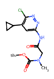 CN(CC(=O)Nc1cc(C2CC2)c(Cl)nn1)C(=O)OC(C)(C)C